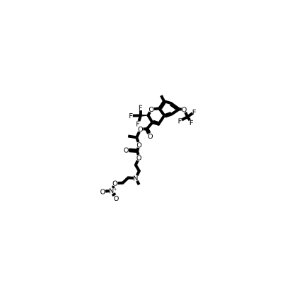 Cc1cc(OC(F)(F)F)cc2c1O[C@H](C(F)(F)F)C(C(=O)OC(C)OC(=O)OCCN(C)CCO[N+](=O)[O-])=C2